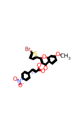 COc1ccc2c(=O)c(OC(=O)/C=C/c3ccc([N+](=O)[O-])cc3)c(-c3ccc(Br)s3)oc2c1